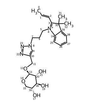 C/C=C/C1=[N+](CCCn2cc(CO[C@@H]3OC[C@@H](O)[C@H](O)[C@H]3O)nn2)c2ccccc2C1(C)C